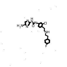 Nc1cnc(NC(=O)Nc2ccc(CCNCCc3ccc(F)cc3)c(Cl)c2)cn1